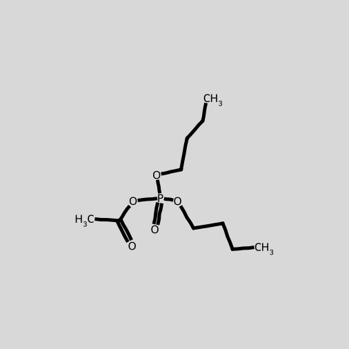 CCCCOP(=O)(OCCCC)OC(C)=O